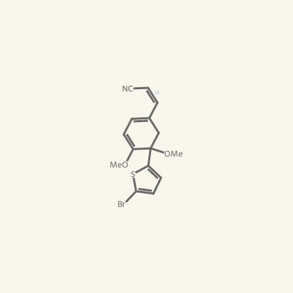 COC1=CC=C(/C=C\C#N)CC1(OC)c1ccc(Br)s1